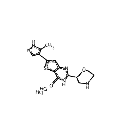 Cc1[nH]ncc1-c1cc2nc(C3CNCCO3)[nH]c(=O)c2s1.Cl.Cl